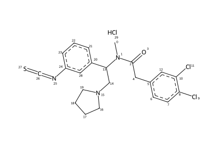 CN(C(=O)Cc1ccc(Cl)c(Cl)c1)C(CN1CCCC1)c1cccc(N=C=S)c1.Cl